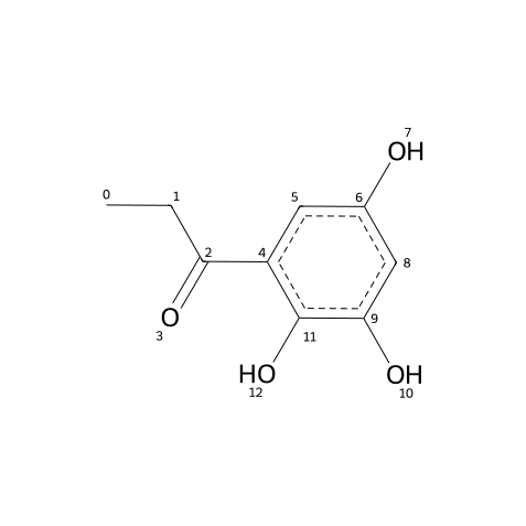 CCC(=O)c1cc(O)cc(O)c1O